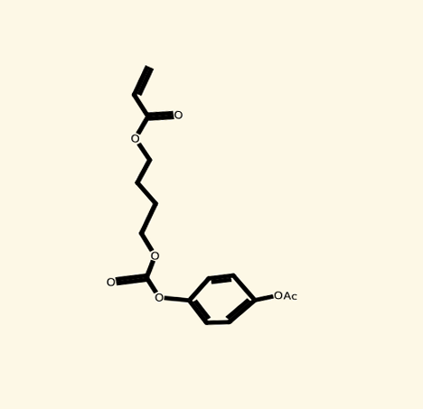 C=CC(=O)OCCCCOC(=O)Oc1ccc(OC(C)=O)cc1